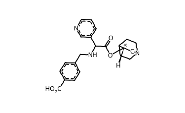 O=C(O)c1ccc(CNC(C(=O)O[C@H]2CN3CCC2CC3)c2cccnc2)cc1